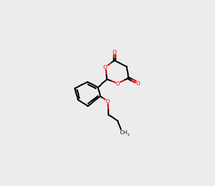 CCCOc1ccccc1C1OC(=O)CC(=O)O1